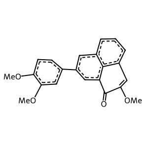 COC1=Cc2cccc3cc(-c4ccc(OC)c(OC)c4)cc(c23)C1=O